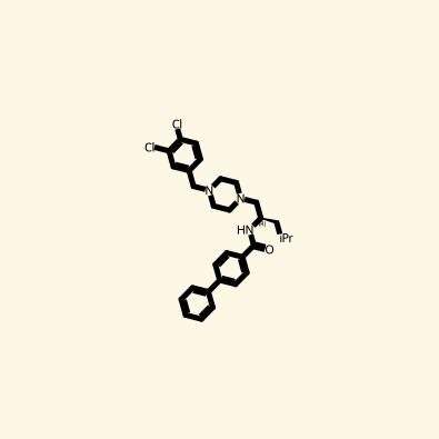 CC(C)C[C@H](CN1CCN(Cc2ccc(Cl)c(Cl)c2)CC1)NC(=O)c1ccc(-c2ccccc2)cc1